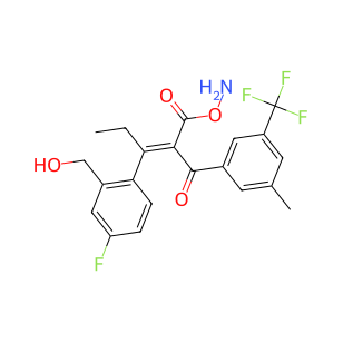 CCC(=C(C(=O)ON)C(=O)c1cc(C)cc(C(F)(F)F)c1)c1ccc(F)cc1CO